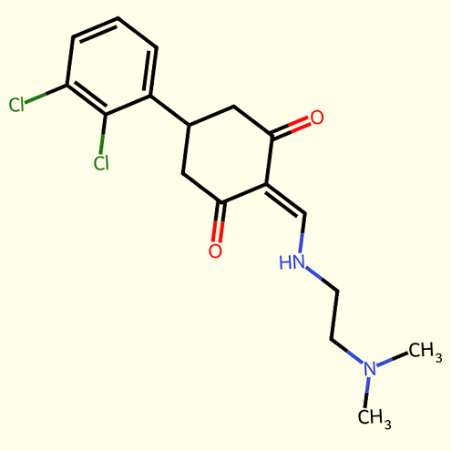 CN(C)CCNC=C1C(=O)CC(c2cccc(Cl)c2Cl)CC1=O